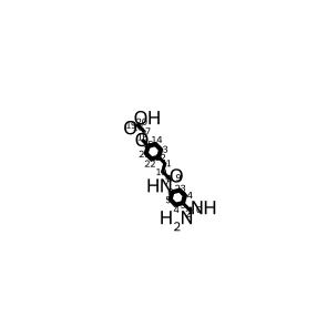 N=C(N)c1ccc(NC(=O)CCc2ccc(OCC(=O)O)cc2)cc1